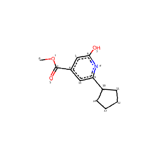 COC(=O)c1cc(O)nc(C2CCCC2)c1